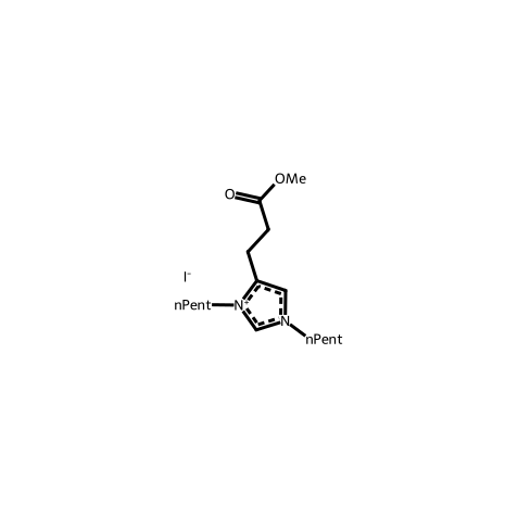 CCCCCn1cc(CCC(=O)OC)[n+](CCCCC)c1.[I-]